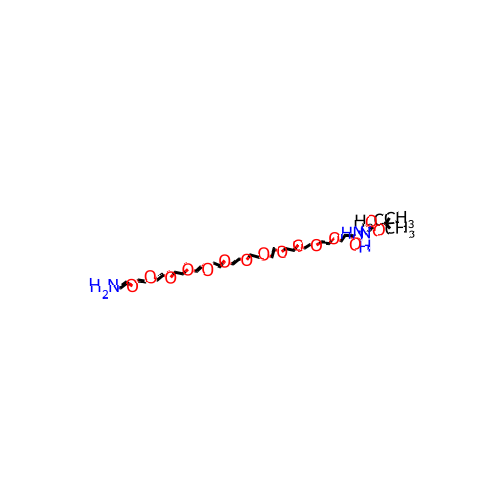 CC(C)(C)OC(=O)NNC(=O)CCOCCOCCOCCOCCOCCOCCOCCOCCOCCOCCOCCOCCN